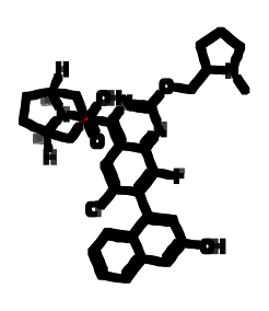 CN1CCCC1COc1nc(N2C[C@H]3CC[C@@H](C2)N3C(=O)O)c2cc(Cl)c(-c3cc(O)cc4ccccc34)c(F)c2n1